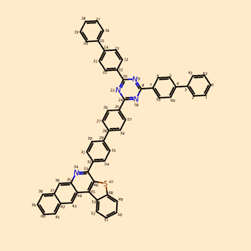 c1ccc(-c2ccc(-c3nc(-c4ccc(-c5ccccc5)cc4)nc(-c4ccc(-c5ccc(-c6nc7cc8ccccc8cc7c7c6sc6ccccc67)cc5)cc4)n3)cc2)cc1